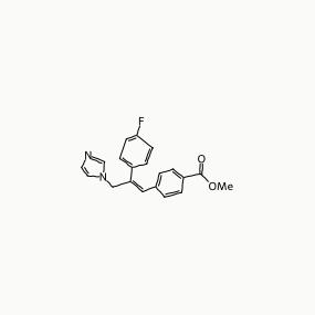 COC(=O)c1ccc(C=C(Cn2ccnc2)c2ccc(F)cc2)cc1